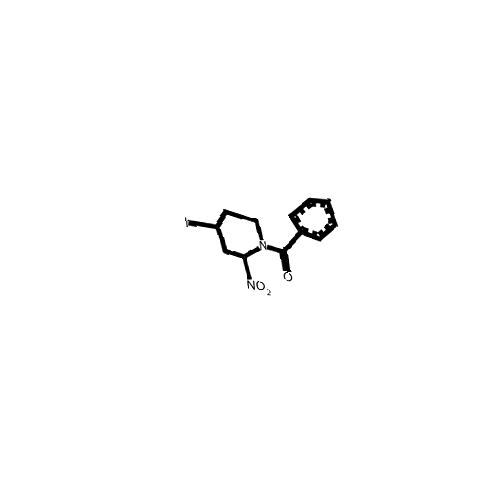 O=C(c1ccccc1)N1CCC(I)CC1[N+](=O)[O-]